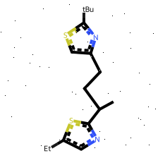 CCc1cnc(C(C)CCc2csc(C(C)(C)C)n2)s1